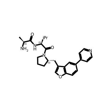 CC(C)[C@H](NC(=O)[C@H](C)N)C(=O)N1CCC[C@H]1Cc1coc2ccc(-c3ccncc3)cc12